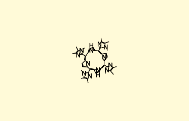 Cc1nc(-c2c3nc(c(-c4nc(C)c(C)n4C)c4ccc([nH]4)c(-c4nc(C)c(C)n4C)c4nc(c(-c5nc(C)c(C)n5C)c5ccc2[nH]5)C=C4)C=C3)n(C)c1C